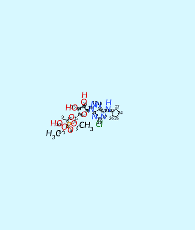 CCOP(=O)(OCC)C(CO)OC[C@H]1O[C@@H](n2nnc3c(NC4CCCC4)nc(Cl)nc32)[C@H](O)[C@@H]1O